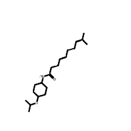 CC(C)CCCCCCCC(=O)NC1CCC(OC(C)C)CC1